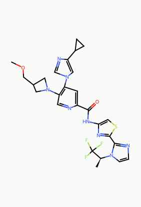 COCC1CN(c2cnc(C(=O)Nc3csc(-c4nccn4[C@@H](C)C(F)(F)F)n3)cc2-n2cnc(C3CC3)c2)C1